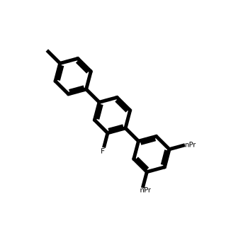 CCCc1cc(CCC)cc(-c2ccc(-c3ccc(C)cc3)cc2F)c1